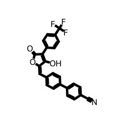 N#Cc1ccc(-c2ccc(C=C3OC(=O)C(c4ccc(C(F)(F)F)cc4)=C3O)cc2)cc1